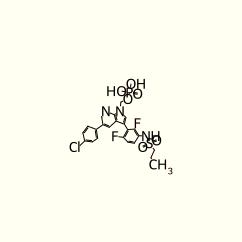 CCCS(=O)(=O)Nc1ccc(F)c(-c2cn(COP(=O)(O)O)c3ncc(-c4ccc(Cl)cc4)cc23)c1F